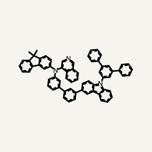 CC1(C)c2ccccc2-c2cc(N(c3cccc(-c4cccc(-c5ccc6c(c5)c5ccccc5n6-c5cc(-c6ccccc6)cc(-c6ccccc6)c5)c4)c3)c3cncc4ccccc34)ccc21